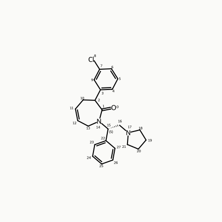 O=C1C(c2cccc(Cl)c2)CC=CCN1[C@H](CN1CCCC1)c1ccccc1